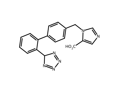 O=C(O)c1cncn1Cc1ccc(-c2ccccc2C2N=NN=N2)cc1